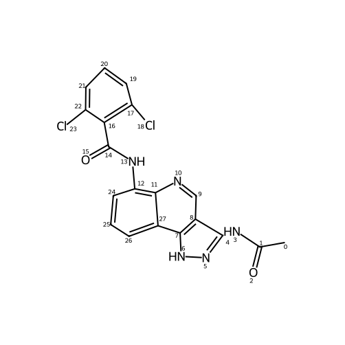 CC(=O)Nc1n[nH]c2c1cnc1c(NC(=O)c3c(Cl)cccc3Cl)cccc12